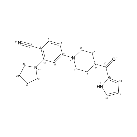 N#Cc1ccc(N2CCN(C(=O)c3ccc[nH]3)CC2)cc1N1CCCC1